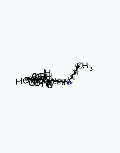 CCCCCCCC/C=C\CCCCCCCC(=O)NCC(O)C(O)C(O)C(O)CO